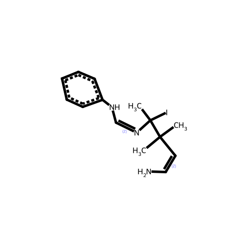 CC(C)(/C=C\N)C(C)(I)/N=C\Nc1ccccc1